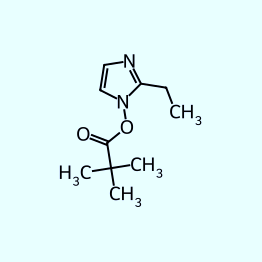 CCc1nccn1OC(=O)C(C)(C)C